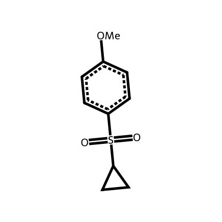 COc1ccc(S(=O)(=O)C2CC2)cc1